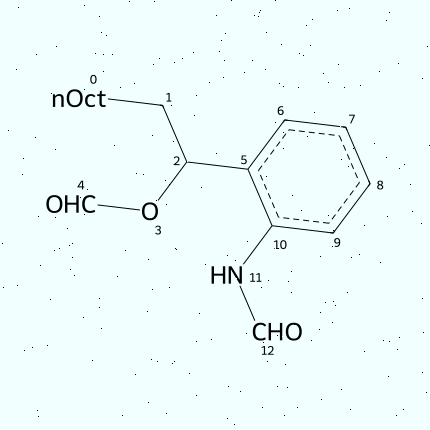 CCCCCCCCCC(OC=O)c1ccccc1NC=O